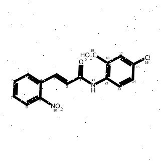 O=C(C=Cc1ccccc1[N+](=O)[O-])Nc1ccc(Cl)cc1C(=O)O